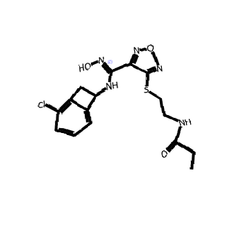 CCC(=O)NCCSc1nonc1/C(=N/O)NC1Cc2c(Cl)cccc21